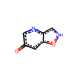 O=c1cnc2c[nH]oc-2c1